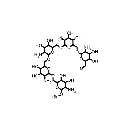 CC(C)(C)OC1OC(COC2OC(COC3OC(COC4OC(COC5OC(CO)C(O)C(O)C5N)C(O)C(O)C4N)C(O)C(O)C3N)C(O)C(O)C2N)C(O)C(O)C1N